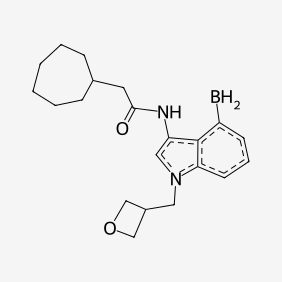 Bc1cccc2c1c(NC(=O)CC1CCCCCC1)cn2CC1COC1